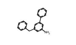 Nc1cc(Cc2ccccc2)cc(-c2[c]cccc2)c1